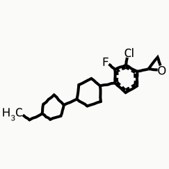 CCC1CCC(C2CCC(c3ccc(C4CO4)c(Cl)c3F)CC2)CC1